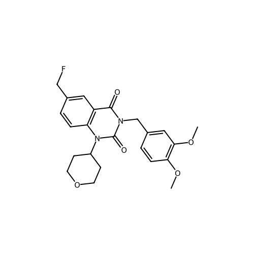 COc1ccc(Cn2c(=O)c3cc(CF)ccc3n(C3CCOCC3)c2=O)cc1OC